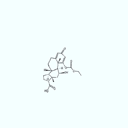 CCOC(=O)OC1=CC(=O)C=C2CC[C@@H]3[C@H]([C@@H](O)C[C@]4(C)C(C(=O)O)CC[C@@H]34)[C@]21C